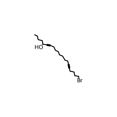 CCCCC(O)C#CCCCCCCCC#CCCCCBr